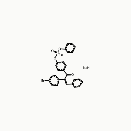 O=C(C(=Cc1ccccc1)c1ccc(Br)cc1)c1ccc(OP(=O)(O)Oc2ccccc2)cc1.[NaH]